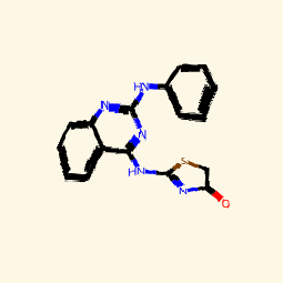 O=C1CSC(Nc2nc(Nc3ccccc3)nc3ccccc23)=N1